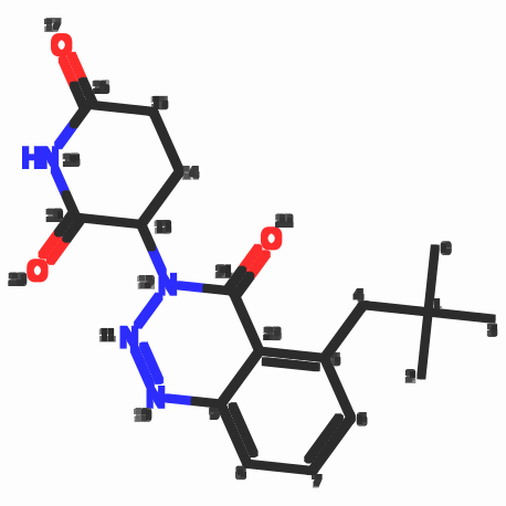 CC(C)(C)Cc1cccc2nnn(C3CCC(=O)NC3=O)c(=O)c12